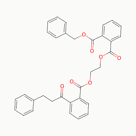 O=C(CCc1ccccc1)c1ccccc1C(=O)OCCOC(=O)c1ccccc1C(=O)OCc1ccccc1